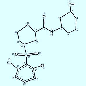 O=C(NC1CCCC(O)C1)C1CCCN(S(=O)(=O)c2c(Cl)cccc2Cl)C1